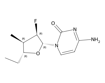 CC[C@H]1O[C@@H](n2ccc(N)nc2=O)[C@H](F)[C@@H]1C